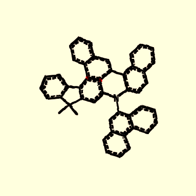 CC1(C)c2ccccc2-c2ccc(N(c3ccc4ccccc4c3-c3ccc4ccccc4c3)c3cc4ccccc4c4ccccc34)cc21